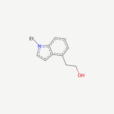 CCn1ccc2c(CCO)c[c]cc21